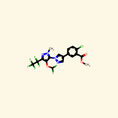 COC(=O)c1cc(-c2cnn(-c3c(OC(F)F)c(C(F)(F)C(F)(F)F)nn3C)c2)ccc1Cl